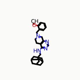 COc1ccccc1CN1CCc2c(ncnc2NCC23CC4CC(CC(C4)C2)C3)C1